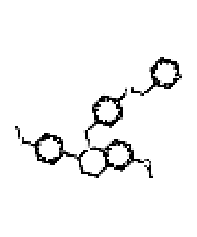 COc1ccc(C2CCc3cc(OC)ccc3N2Cc2ccc(OCc3ccccc3)cc2)cc1